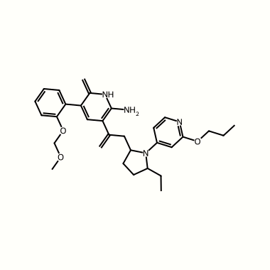 C=C(CC1CCC(CC)N1c1ccnc(OCCC)c1)C1=C(N)NC(=C)C(c2ccccc2OCOC)=C1